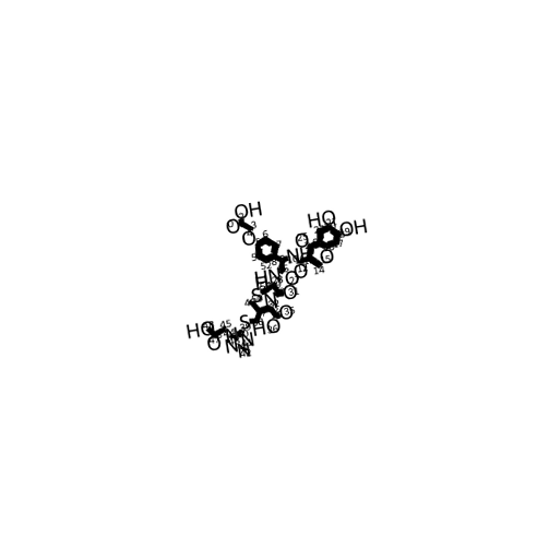 O=C(O)COc1ccc(C(NC(=O)c2coc3cc(O)c(O)cc3c2=O)C(=O)N[C@@H]2C(=O)N3C(C(=O)O)=C(CSc4nnnn4CC(=O)O)CS[C@@H]23)cc1